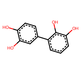 Oc1ccc(-c2cccc(O)c2O)cc1O